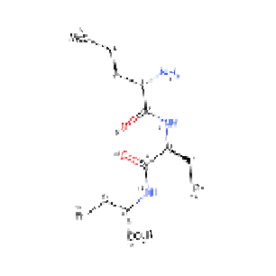 CSCC[C@H](N)C(=O)N[C@@H](CC(C)C)C(=O)N[C@@H](CC(C)C)C(=O)O